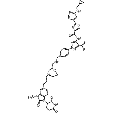 Cn1c(=O)n(C2CCC(=O)NC2=O)c2ccc(CCCN3CCO[C@H](CNCc4ccc(-n5cc(NC(=O)c6coc(-c7ccnc(NCC8CC8)c7)n6)c(C(F)F)n5)cc4)C3)cc21